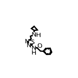 O=C(Cc1ccccc1)Nc1nnc(CNC2CCC2)s1